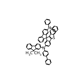 CC1(C)c2ccccc2-c2ccc(N(c3ccc(-c4ccccc4)cc3)c3ccc4c(c3)C3(c5ccccc5-c5ccc(N(c6ccccc6)c6ccccc6)cc53)c3c-4sc4ccccc34)cc21